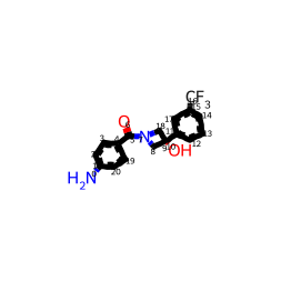 Nc1ccc(C(=O)N2CC(O)(c3cccc(C(F)(F)F)c3)C2)cc1